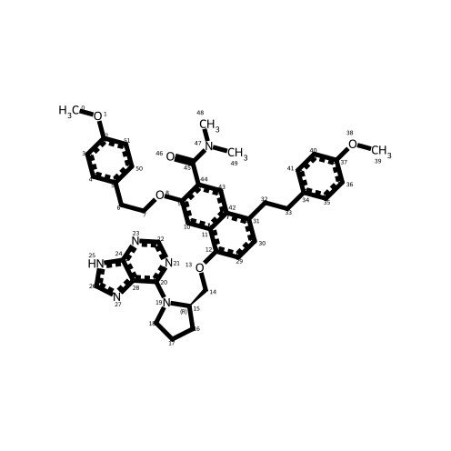 COc1ccc(CCOc2cc3c(OC[C@H]4CCCN4c4ncnc5[nH]cnc45)ccc(CCc4ccc(OC)cc4)c3cc2C(=O)N(C)C)cc1